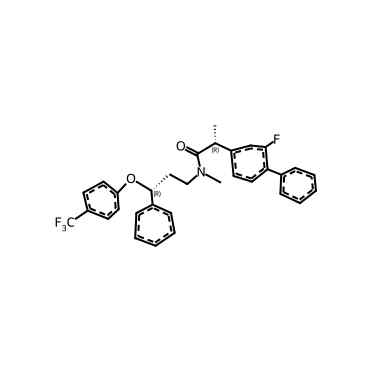 C[C@@H](C(=O)N(C)CC[C@@H](Oc1ccc(C(F)(F)F)cc1)c1ccccc1)c1ccc(-c2ccccc2)c(F)c1